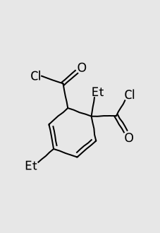 CCC1=CC(C(=O)Cl)C(CC)(C(=O)Cl)C=C1